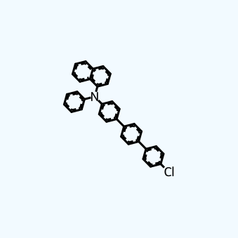 Clc1ccc(-c2ccc(-c3ccc(N(c4ccccc4)c4cccc5ccccc45)cc3)cc2)cc1